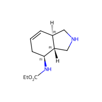 CCOC(=O)N[C@H]1CC=C[C@H]2CNC[C@H]12